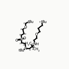 CC(C)(C)CCCOCCNC(C)(C)CN(CCS(=O)(=O)CCCOCC(C)(C)C)C(C)(C)C